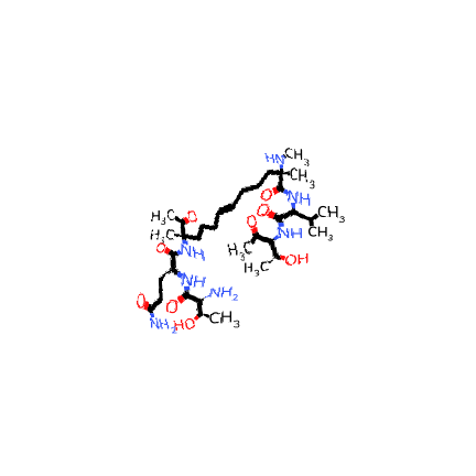 CN[C@@](C)(CCC/C=C/CCC[C@](C)(NC(=O)[C@H](CCC(N)=O)NC(=O)[C@H](N)[C@@H](C)O)C(C)=O)C(=O)N[C@H](C(=O)N[C@H](C(C)=O)[C@@H](C)O)C(C)C